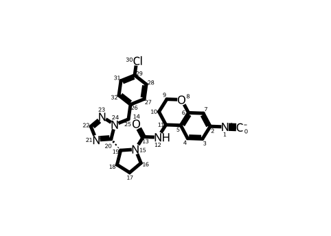 [C-]#[N+]c1ccc2c(c1)OCCC2NC(=O)N1CCC[C@@H]1c1ncnn1Cc1ccc(Cl)cc1